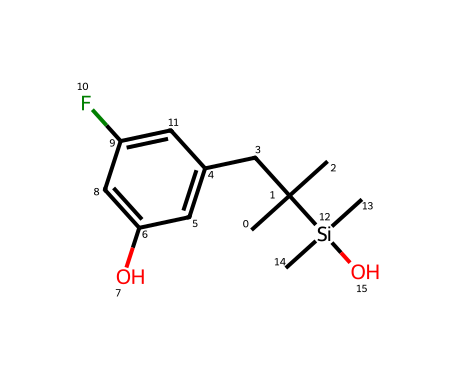 CC(C)(Cc1cc(O)cc(F)c1)[Si](C)(C)O